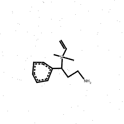 C=C[Si](C)(C)C(CCN)c1ccccc1